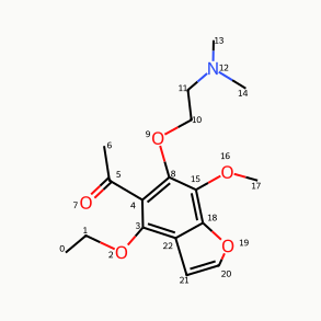 CCOc1c(C(C)=O)c(OCCN(C)C)c(OC)c2occc12